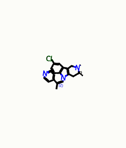 C/C(=C/n1c2c(c3cc(Cl)ccc31)CN(C)[C@@H](C)C2)c1ccncc1